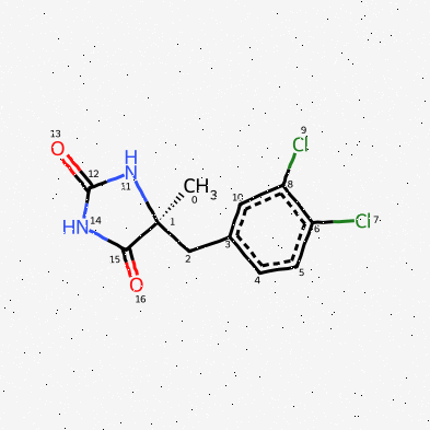 C[C@@]1(Cc2ccc(Cl)c(Cl)c2)NC(=O)NC1=O